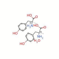 C[C@](N)(Cc1ccc(O)cc1)C(=O)O.C[C@](N)(Cc1ccc(O)cc1)C(=O)O.O